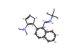 CN(C)C1=C(c2ccc3ccccc3c2/C=N/C(C)(C)C)CC=C1